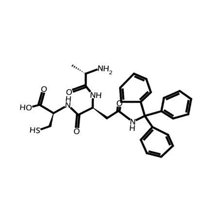 C[C@H](N)C(=O)N[C@@H](CC(=O)NC(c1ccccc1)(c1ccccc1)c1ccccc1)C(=O)N[C@@H](CS)C(=O)O